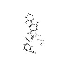 Cc1cc2c(cc1N1CCOCC1=O)[nH]/c(=N\C(=O)c1cccc(C(F)(F)F)c1)n2CCCO